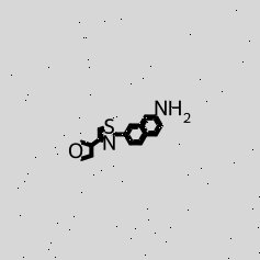 Nc1ccc2ccc(-c3nc(C4CCOC4)cs3)cc2c1